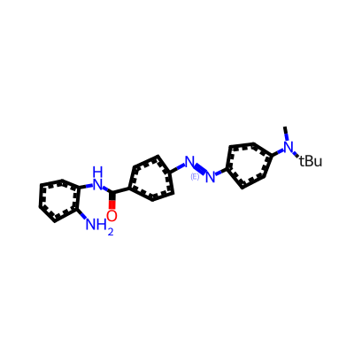 CN(c1ccc(/N=N/c2ccc(C(=O)Nc3ccccc3N)cc2)cc1)C(C)(C)C